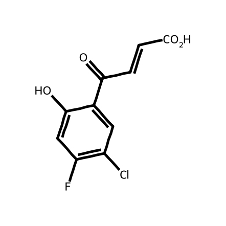 O=C(O)C=CC(=O)c1cc(Cl)c(F)cc1O